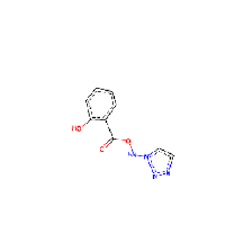 O=C(ONn1ccnn1)c1ccccc1O